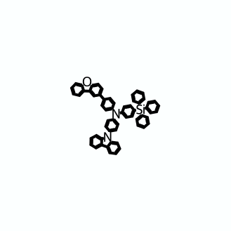 c1ccc([Si](c2ccccc2)(c2ccccc2)c2ccc(N(c3ccc(-c4ccc5oc6ccccc6c5c4)cc3)c3ccc(-n4c5ccccc5c5ccccc54)cc3)cc2)cc1